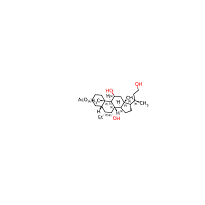 CC[C@H]1[C@@H](O)[C@@H]2[C@H]([C@@H](O)C[C@]3(C)[C@@H]([C@H](C)CCO)CC[C@@H]23)[C@@]2(C)CC[C@@H](OC(C)=O)C[C@@H]12